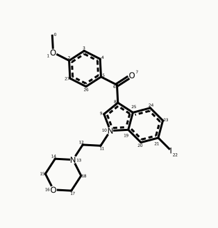 COc1ccc(C(=O)c2cn(CCN3CCOCC3)c3cc(I)ccc23)cc1